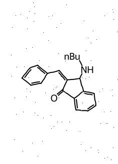 CCCCNC1C(=Cc2ccccc2)C(=O)c2ccccc21